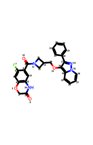 O=C1COc2cc(F)c(C(=O)N3CC(COc4c(-c5ccccc5)nn5ccccc45)C3)cc2N1